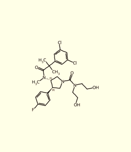 CN(C(=O)C(C)(C)c1cc(Cl)cc(Cl)c1)[C@@H]1CN(C(=O)N(CCO)CCO)C[C@H]1c1ccc(F)cc1